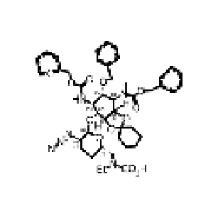 CCN(C[C@@H]1CC[C@@H](N=[N+]=[N-])[C@@H](O[C@@H]2[C@@H](NC(=O)OCc3ccccc3)[C@H](OCc3ccccc3)[C@@H](NC(=O)OCc3ccccc3)[C@@H]3OC4(CCCCC4)O[C@@H]23)O1)C(=O)O